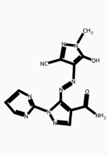 Cn1nc(C#N)c(N=Nc2c(C(N)=O)cnn2-c2ncccn2)c1O